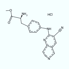 COC(=O)[C@@H](N)Cc1ccc(Nc2nc3ccncc3cc2C#N)cc1.Cl